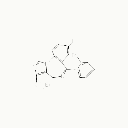 CCOC(=O)c1ncn2c1CN=C(c1ccccc1Br)c1cc(F)ccc1-2